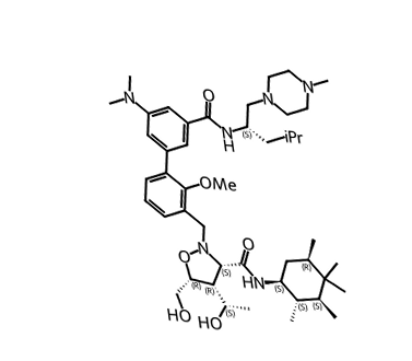 COc1c(CN2O[C@@H](CO)[C@@H]([C@H](C)O)[C@H]2C(=O)N[C@H]2C[C@@H](C)C(C)(C)[C@@H](C)[C@@H]2C)cccc1-c1cc(C(=O)N[C@@H](CC(C)C)CN2CCN(C)CC2)cc(N(C)C)c1